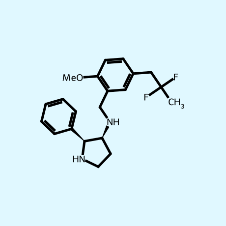 COc1ccc(CC(C)(F)F)cc1CN[C@H]1CCN[C@H]1c1ccccc1